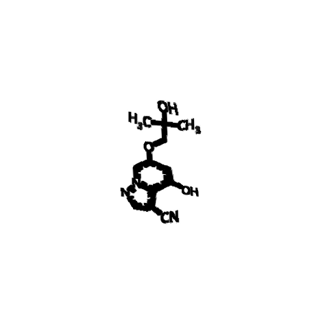 CC(C)(O)COc1cc(O)c2c(C#N)cnn2c1